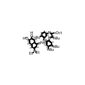 CCCCCCCCC(=Nc1ccc(CCCC)c(CCCC)c1)C(CCCC)=Nc1ccc(CCCC)c(CCCC)c1.CCCCCc1cc(N(CC)CC)cc2cc(O)c(O)cc12